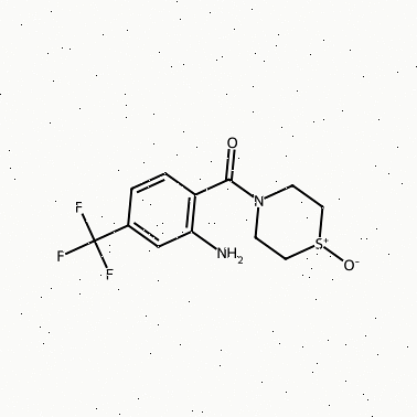 Nc1cc(C(F)(F)F)ccc1C(=O)N1CC[S+]([O-])CC1